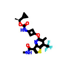 CNC(=O)c1csc2c(C(F)(F)F)c(C)c(OC3CC(NC(=O)O[C@H](C)C4CC4)C3)nc12